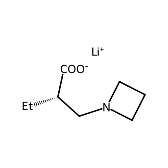 CC[C@@H](CN1CCC1)C(=O)[O-].[Li+]